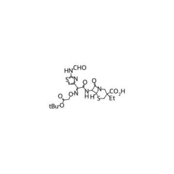 CCC1(C(=O)O)CS[C@@H]2C(NC(=O)C(=NOCC(=O)OC(C)(C)C)c3csc(NC=O)n3)C(=O)N2C1